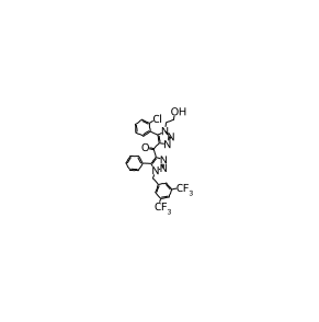 O=C(c1nnn(Cc2cc(C(F)(F)F)cc(C(F)(F)F)c2)c1-c1ccccc1)c1nnn(CCO)c1-c1ccccc1Cl